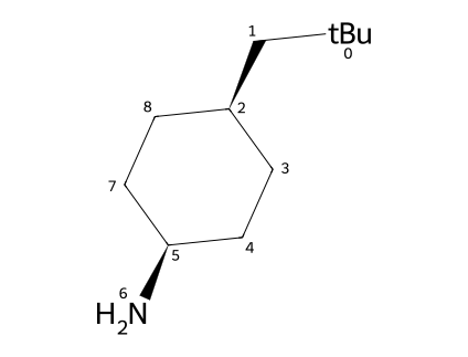 CC(C)(C)C[C@H]1CC[C@@H](N)CC1